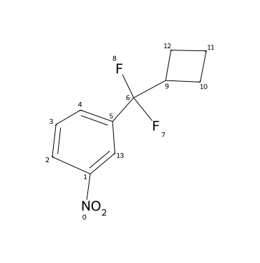 O=[N+]([O-])c1cccc(C(F)(F)C2CCC2)c1